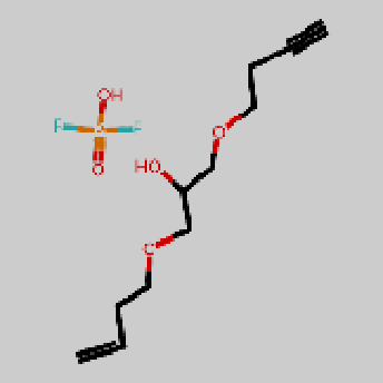 C#CCCOCC(O)COCCC=C.O=P(O)(F)F